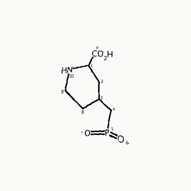 O=C(O)C1CC(CP(=O)=O)CCN1